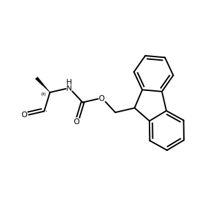 C[C@H]([C]=O)NC(=O)OCC1c2ccccc2-c2ccccc21